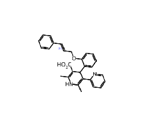 CC1=C(C(=O)O)C(c2ccccc2OC/C=C/c2ccccc2)C(c2ccccn2)=C(C)N1